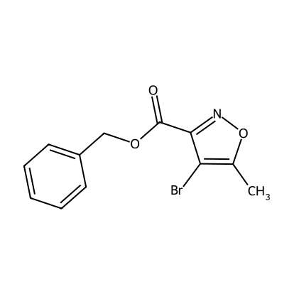 Cc1onc(C(=O)OCc2ccccc2)c1Br